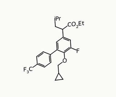 CCOC(=O)C(CC(C)C)c1cc(F)c(OCC2CC2)c(-c2ccc(C(F)(F)F)cc2)c1